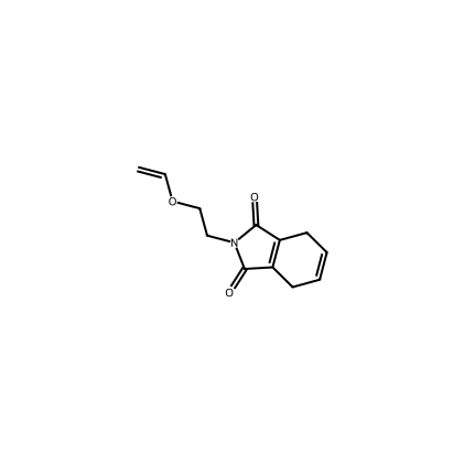 C=COCCN1C(=O)C2=C(CC=CC2)C1=O